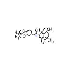 C/C(=C\c1ccc2c(c1)OC(C)(C)O2)c1ccc2c(c1)C(C)(C)C=CC2(C)C